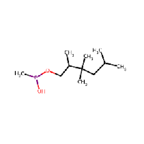 CC(C)CC(C)(C)C(C)COP(C)O